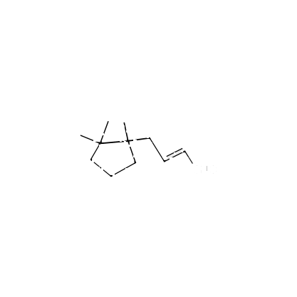 CC1(C)CCCC1(C)CC=CC=O